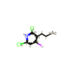 CC(=O)CCc1c(I)cc(Cl)nc1Cl